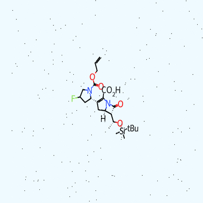 C=CCOC(=O)N1CC(F)C[C@H]1C1=C(C(=O)O)N2C(=O)[C@H]([C@@H](C)O[Si](C)(C)C(C)(C)C)[C@H]2C1